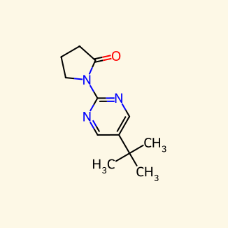 CC(C)(C)c1cnc(N2CCCC2=O)nc1